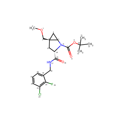 COC[C@@]12CC1N(C(=O)OC(C)(C)C)[C@H](C(=O)NCc1cccc(Cl)c1F)C2